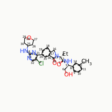 CC[C@H](C(=O)N[C@H](CO)c1cccc(C)c1)N1Cc2ccc(-c3nc(NC4CCOCC4)ncc3Cl)cc2C1=O